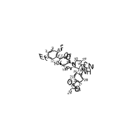 CCc1ccc(F)c(C(=O)NC(C(=O)N2CCC(C#N)(Nc3ccc(S(C)(=O)=O)cc3)CC2)C(C)C)c1